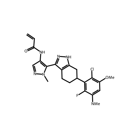 C=CC(=O)Nc1cnn(C)c1-c1n[nH]c2c1CCC(c1c(F)c(NC)cc(OC)c1Cl)C2